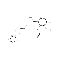 CC=CCc1c(C(CC)OCCCS(=O)(=O)c2nnn[nH]2)ccc(Cl)c1O